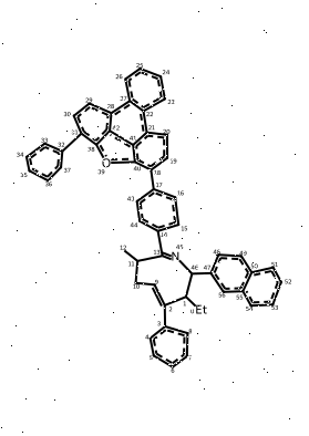 CCC1/C(c2ccccc2)=C/CC(C)/C(c2ccc(-c3ccc4c5ccccc5c5ccc(-c6ccccc6)c6oc3c4c65)cc2)=N\C1c1ccc2ccccc2c1